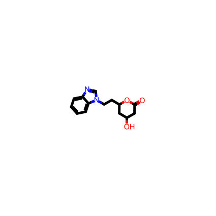 O=C1CC(O)CC(CCn2cnc3ccccc32)O1